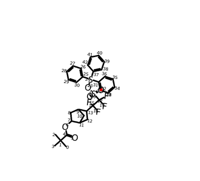 CC(C)(C)C(=O)OC1CC2CC1CC2C(F)(F)C(F)(F)S(=O)(=O)OS(c1ccccc1)(c1ccccc1)c1ccccc1